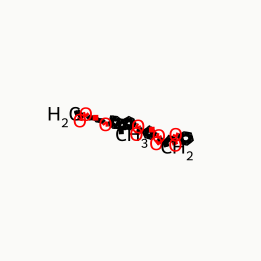 C=CC(=O)OCCCCOc1ccc2c(c1)C(C)c1cc(OC(=O)c3ccc(OC(=O)C(=C)CC(=O)OC4CCCCC4)cc3)ccc1-2